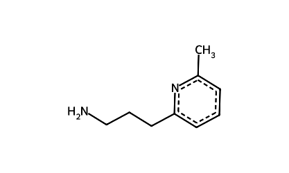 Cc1cccc(CCCN)n1